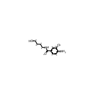 Nc1ccc(C(=O)NCCCCO)cc1Cl